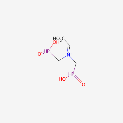 O=C(O)C=[N+](C[PH](=O)O)C[PH](=O)O